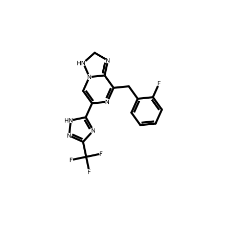 Fc1ccccc1CC1=NC(c2nc(C(F)(F)F)n[nH]2)=CN2NCN=C12